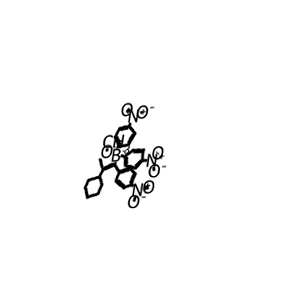 C[O+]1CC(C2CCCCC2)=C(c2ccc([N+](=O)[O-])cc2)[B-]1(c1ccc([N+](=O)[O-])cc1)c1ccc([N+](=O)[O-])cc1